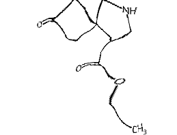 CCOC(=O)C1CNCC12CC(=O)C2